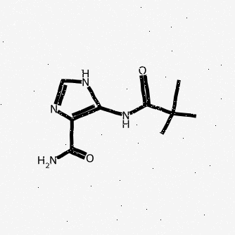 CC(C)(C)C(=O)Nc1[nH]cnc1C(N)=O